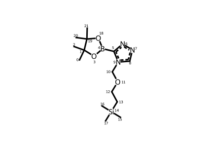 CC1(C)OB(c2nncn2COCC[Si](C)(C)C)OC1(C)C